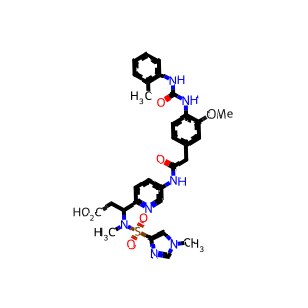 COc1cc(CC(=O)Nc2ccc(C(CC(=O)O)N(C)S(=O)(=O)C3CN(C)C=N3)nc2)ccc1NC(=O)Nc1ccccc1C